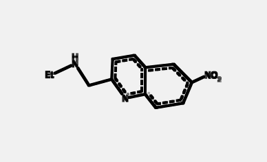 CCNCc1ccc2cc([N+](=O)[O-])ccc2n1